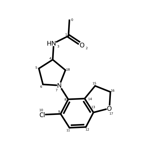 CC(=O)NC1CCN(c2c(Cl)ccc3c2CCO3)C1